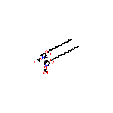 CCCCCCCCCCCCCCCC(=O)OC1CC(C)(C)N(OCC(C)(C)O)C(C)(C)C1.CCCCCCCCCCCCCCCCCC(=O)OC1CCN(OCC(C)(C)O)C(C)(C)C1(C)C